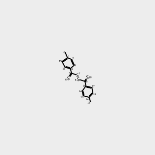 Cc1ccc(C(=S)SSC(=S)c2ccc(C)cc2)cc1